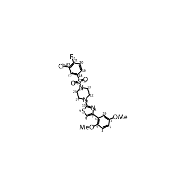 COc1ccc(OC)c(-c2csc(N3CCN(S(=O)(=O)c4ccc(F)c(Cl)c4)CC3)n2)c1